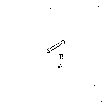 O=S.[Ti].[V]